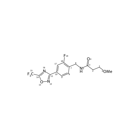 COCCC(=O)NCc1ccc(-c2noc(C(F)(F)F)n2)cc1F